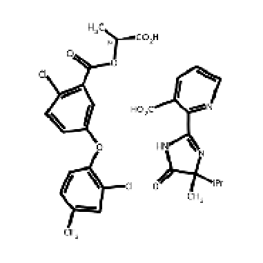 CC(C)C1(C)N=C(c2ncccc2C(=O)O)NC1=O.C[C@H](OC(=O)c1cc(Oc2ccc(C(F)(F)F)cc2Cl)ccc1Cl)C(=O)O